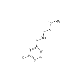 COCCNCc1ccnc(Br)c1